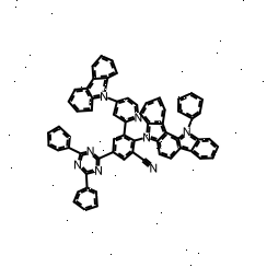 N#Cc1cc(-c2nc(-c3ccccc3)nc(-c3ccccc3)n2)cc(-c2cc(-n3c4ccccc4c4ccccc43)ccn2)c1-n1c2ccccc2c2c1ccc1c3ccccc3n(-c3ccccc3)c12